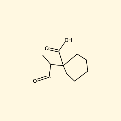 CC([C]=O)C1(C(=O)O)CCCCC1